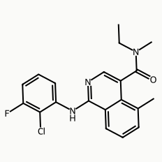 CCN(C)C(=O)c1cnc(Nc2cccc(F)c2Cl)c2cccc(C)c12